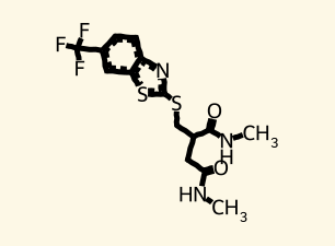 CNC(=O)CC(CSc1nc2ccc(C(F)(F)F)cc2s1)C(=O)NC